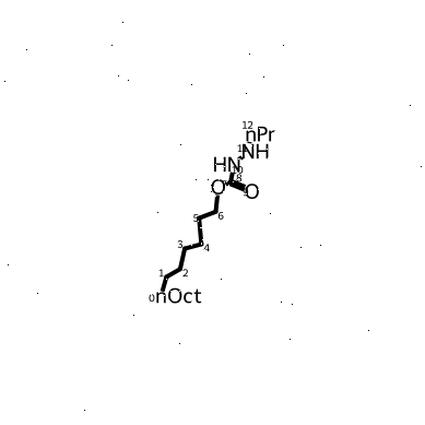 CCCCCCCCCCCCCCOC(=O)NNCCC